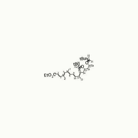 CCOC(=O)C=CC(C)=CC(C)=CC=CC(C)=CCC(CC(C)O[Si](C)(C)C(C)(C)C)O[Si](C)(C)C(C)(C)C